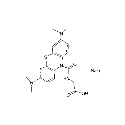 CN(C)c1ccc2c(c1)Sc1cc(N(C)C)ccc1N2C(=O)NCC(=O)O.[NaH]